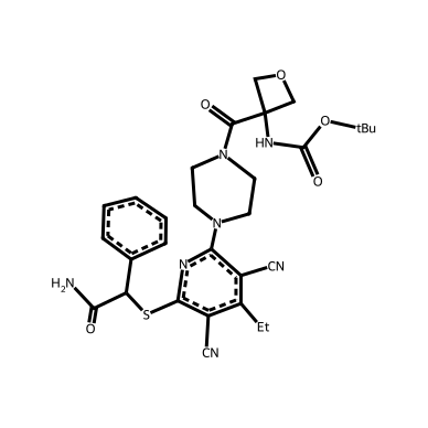 CCc1c(C#N)c(SC(C(N)=O)c2ccccc2)nc(N2CCN(C(=O)C3(NC(=O)OC(C)(C)C)COC3)CC2)c1C#N